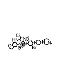 COc1cc(N2CCC(N3CCCN(C)CC3)CC2)c(Br)cc1Nc1ncc(Cl)c(Nc2cc3c(cc2NS(C)(=O)=O)CCO3)n1